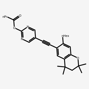 CCCCCCc1cc2c(cc1C#Cc1cnc(OC(=O)CCC)nc1)C(C)(C)CC(C)(C)O2